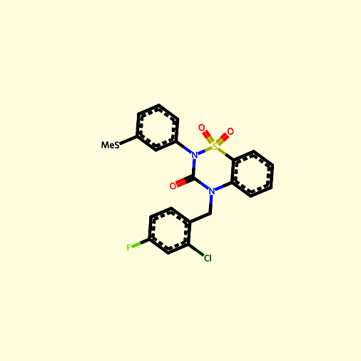 CSc1cccc(N2C(=O)N(Cc3ccc(F)cc3Cl)c3ccccc3S2(=O)=O)c1